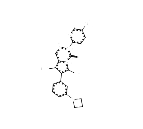 Cc1c(-c2cccc(N3CCC3)c2)c(C)n2c(=O)n(-c3ccc(N)cn3)ncc12